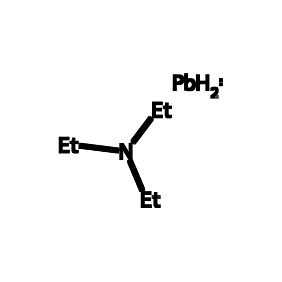 CCN(CC)CC.[PbH2]